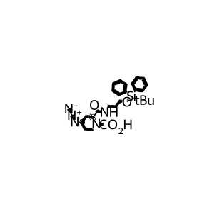 CC(C)(C)[Si](OCCCNC(=O)[C@@H]1C[C@@H](N=[N+]=[N-])CCN1C(=O)O)(c1ccccc1)c1ccccc1